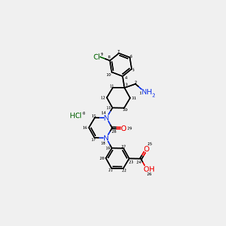 Cl.NCC1(c2cccc(Cl)c2)CCC(N2CC=CN(c3cccc(C(=O)O)c3)C2=O)CC1